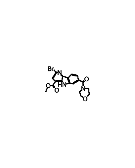 COC(=O)c1cc(Br)nc2c1[nH]c1cc(C(=O)N3CCOCC3)ccc12